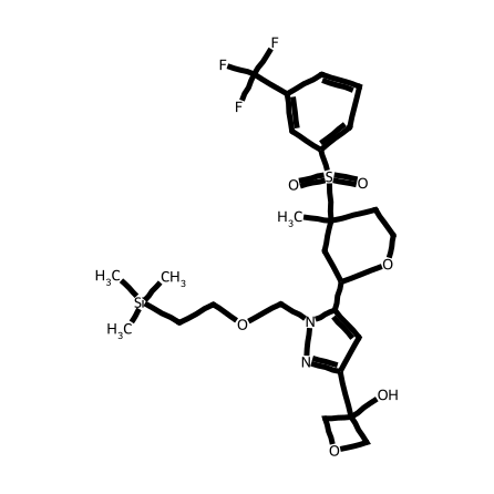 CC1(S(=O)(=O)c2cccc(C(F)(F)F)c2)CCOC(c2cc(C3(O)COC3)nn2COCC[Si](C)(C)C)C1